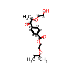 CCC(C)OCCOC(=O)c1ccc(C(=O)C(C)OCCO)cc1